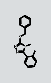 Cc1ccccc1-c1nnc(SCc2ccccc2)n1C